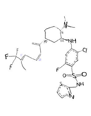 C=C(/C=C\C=C(/C)C(F)(F)F)[C@@H]1CC[C@H](N(C)C)[C@@H](Nc2cc(F)c(S(=O)(=O)Nc3nccs3)cc2Cl)C1